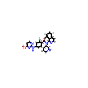 COc1ccnc(Nc2ccc(C(=O)N(c3nccc4cccc(C)c34)[C@@H]3CCCNC3)c(F)c2)n1